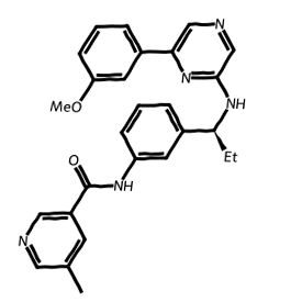 CC[C@H](Nc1cncc(-c2cccc(OC)c2)n1)c1cccc(NC(=O)c2cncc(C)c2)c1